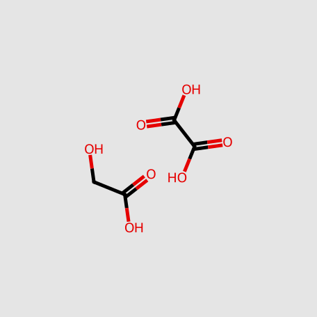 O=C(O)C(=O)O.O=C(O)CO